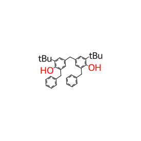 CC(C)(C)c1cc(Cc2cc(Cc3ccccc3)c(O)c(C(C)(C)C)c2)cc(Cc2ccccc2)c1O